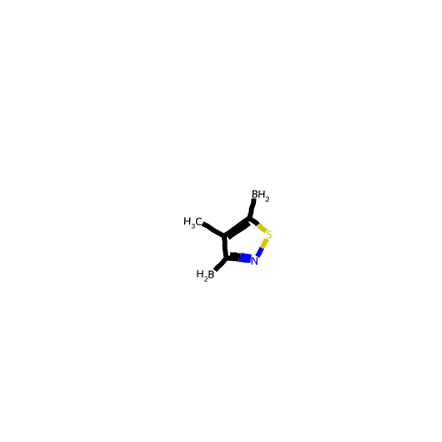 Bc1nsc(B)c1C